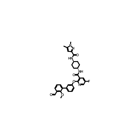 COc1c(C=O)cccc1-c1cccc(Oc2ncc(F)cc2C(=O)N[C@H]2CC[C@H](NC(=O)c3cc(C)n(C)n3)CC2)c1